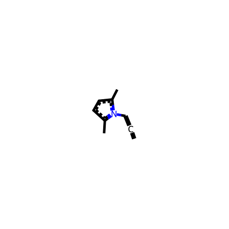 C=C=Cn1c(C)ccc1C